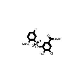 COC(=O)c1cc(Cl)c(O)c(NS(=O)(=O)c2cc(Cl)ccc2OC)c1